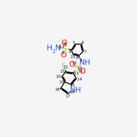 NS(=O)(=O)c1cccc(NS(=O)(=O)c2cc3[nH]ccc3cc2F)c1